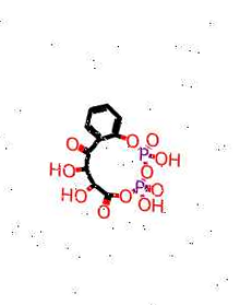 O=C1OP(=O)(O)OP(=O)(O)Oc2ccccc2C(=O)C(O)C1O